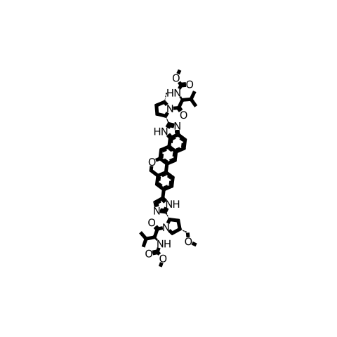 COC[C@H]1C[C@@H](c2ncc(-c3ccc4c(c3)COc3cc5c(ccc6nc([C@@H]7CC[C@H](C)N7C(=O)[C@@H](NC(=O)OC)C(C)C)[nH]c65)cc3-4)[nH]2)N(C(=O)[C@@H](NC(=O)OC)C(C)C)C1